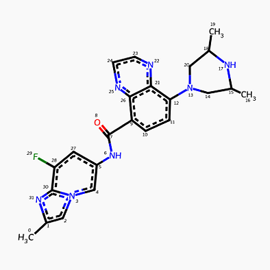 Cc1cn2cc(NC(=O)c3ccc(N4CC(C)NC(C)C4)c4nccnc34)cc(F)c2n1